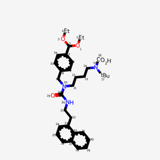 CCOC(OCC)c1ccc(CN(CCCCN(C(=O)O)C(C)(C)C)C(=O)NCCc2cccc3ccccc23)cc1